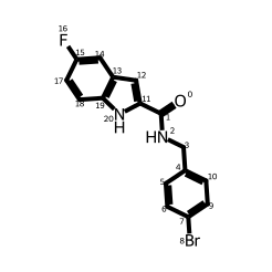 O=C(NCc1ccc(Br)cc1)c1cc2cc(F)ccc2[nH]1